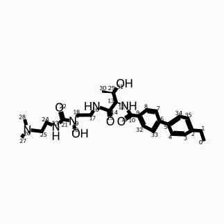 CCc1ccc(-c2ccc(C(=O)N[C@H](C(=O)NCCN(O)C(=O)NCCN(C)C)[C@@H](C)O)cc2)cc1